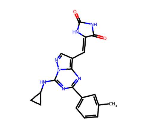 Cc1cccc(-c2nc(NC3CC3)n3ncc(/C=C4\NC(=O)NC4=O)c3n2)c1